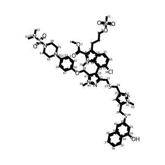 COC(=O)c1c(CCCOS(C)(=O)=O)c2ccc(Cl)c(-c3c(CSCc4cc(CSc5cc(O)c6ccccc6c5)n(C)n4)nn(C)c3COc3ccc(N4CCN(S(=O)(=O)N(C)C)CC4)cc3)c2n1C